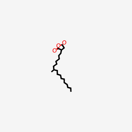 CCCCCCCCCCC(C)CCCCCCC1CC(=O)OC1=O